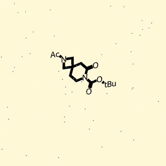 CC(=O)N1CC2(CCN(C(=O)OC(C)(C)C)C(=O)C2)C1